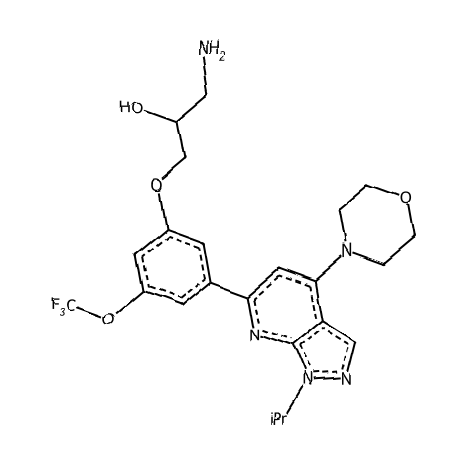 CC(C)n1ncc2c(N3CCOCC3)cc(-c3cc(OCC(O)CN)cc(OC(F)(F)F)c3)nc21